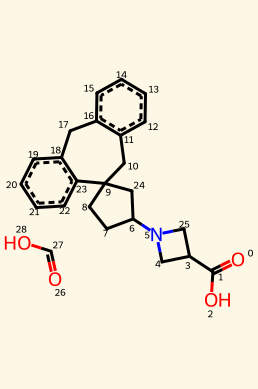 O=C(O)C1CN(C2CCC3(Cc4ccccc4Cc4ccccc43)C2)C1.O=CO